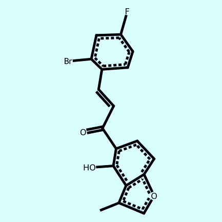 Cc1coc2ccc(C(=O)/C=C/c3ccc(F)cc3Br)c(O)c12